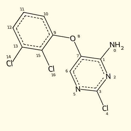 Nc1nc(Cl)ncc1Oc1cccc(Cl)c1Cl